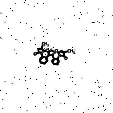 CC1=CC(=O)N(c2ccccc2C2=CSSC2c2ccccc2N2C(=O)C=C(C)C2=O)C1=O